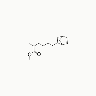 COC(=O)C(C)CCCCC1CC2C=CC1C2